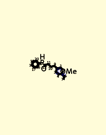 C\C=C(/C=C\C(=C/C)OC)CCCC(=O)Pc1ccccc1